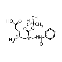 C[C@H](CCC(=O)O)C[C@H](CNC(=O)c1ccccc1)C(=O)OC(C)(C)C